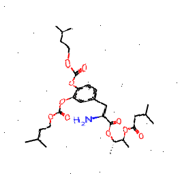 CC(C)CCOC(=O)Oc1ccc(C[C@H](N)C(=O)O[C@@H](C)C(C)OC(=O)CC(C)C)cc1OC(=O)OCCC(C)C